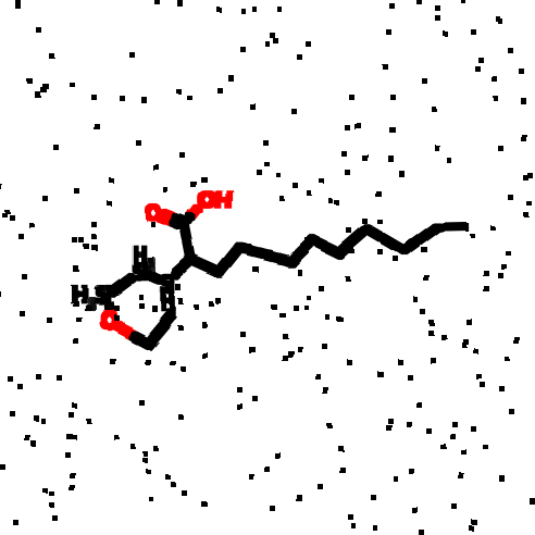 CCCCCCCCCC(C(=O)O)[SiH]1CCO[SiH2][SiH2]1